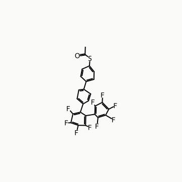 CC(=O)Sc1ccc(-c2ccc(-c3c(F)c(F)c(F)c(F)c3-c3c(F)c(F)c(F)c(F)c3F)cc2)cc1